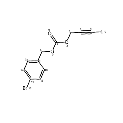 O=C(OCC#CI)OCc1ccc(Br)cc1